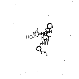 Cc1nc(NCc2cccc(C(F)(F)F)c2)nc(N[C@@H]2C[C@H](CO)[C@@H](C)[C@H]2C)c1-c1nc2ccccc2s1